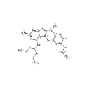 CCCC(CCO)Nc1nc(N)nc2cnn(Cc3cc(CNC)ncc3OC)c12